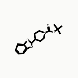 CC(C)(C)OC(=O)N1CC[C](C2Oc3ccccc3O2)CC1